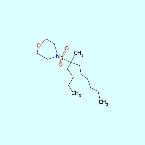 CCCCCCC(C)(CCCC)S(=O)(=O)N1CCOCC1